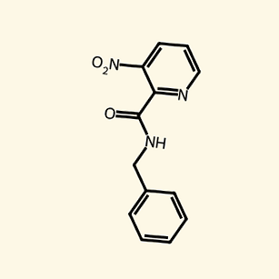 O=C(NCc1ccccc1)c1ncccc1[N+](=O)[O-]